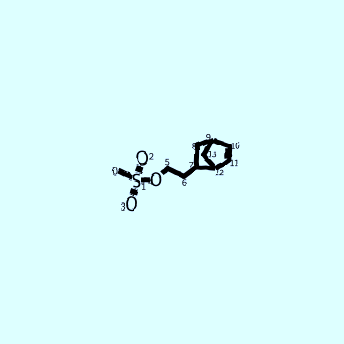 CS(=O)(=O)OCCC1CC2C=CC1C2